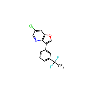 FC(F)(F)C(F)(F)c1cccc(-c2coc3cc(Cl)cnc23)c1